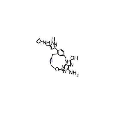 Nc1nc2nc3c1nc(O)n3Cc1ccc(-c3cc(CNC4CCC4)[nH]n3)c(c1)C/C=C\CCO2